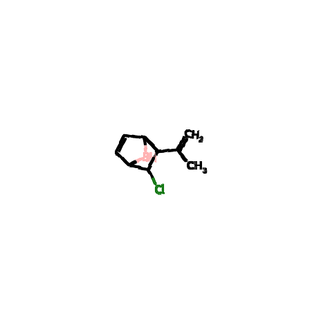 C=C(C)C1C2BC(C=C2)C1Cl